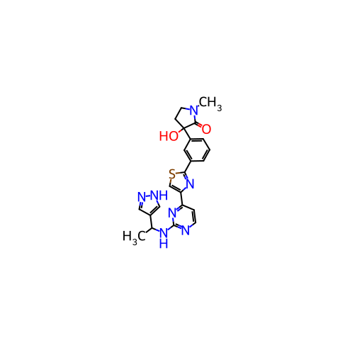 CC(Nc1nccc(-c2csc(-c3cccc(C4(O)CCN(C)C4=O)c3)n2)n1)c1cn[nH]c1